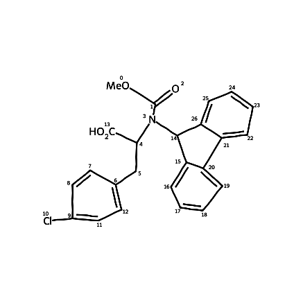 COC(=O)N(C(Cc1ccc(Cl)cc1)C(=O)O)C1c2ccccc2-c2ccccc21